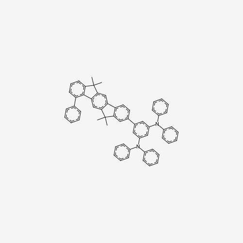 CC1(C)c2cc(-c3cc(N(c4ccccc4)c4ccccc4)cc(N(c4ccccc4)c4ccccc4)c3)ccc2-c2cc3c(cc21)-c1c(-c2ccccc2)cccc1C3(C)C